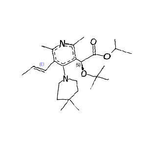 C/C=C/c1c(C)nc(C)c([C@H](OC(C)(C)C)C(=O)OC(C)C)c1N1CCC(C)(C)CC1